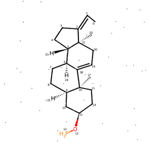 C/C=C1/CC[C@H]2[C@@H]3CC[C@@H]4C[C@H](OP)CC[C@]4(C)C3=CC[C@]12C